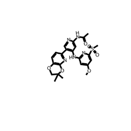 COc1cc(Nc2cc(NC(C)=O)ncc2-c2ccc3c(n2)OC(C)(C)CO3)nc(S(C)(=O)=O)c1